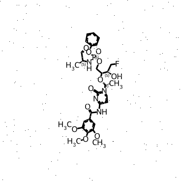 COc1cc(C(=O)Nc2ccn([C@@H](C)OC(CO[P@@](=O)(N[C@@H](C)C=O)Oc3ccccc3)[C@H](O)CF)c(=O)n2)cc(OC)c1OC